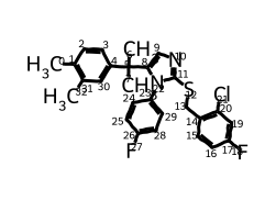 Cc1ccc(C(C)(C)c2cnc(SCc3ccc(F)cc3Cl)n2-c2ccc(F)cc2)cc1C